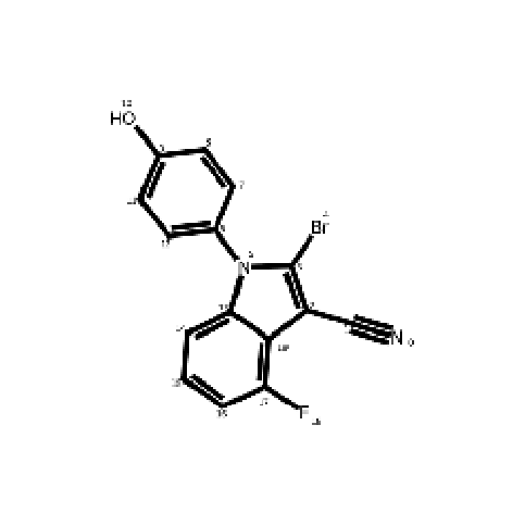 N#Cc1c(Br)n(-c2ccc(O)cc2)c2cccc(F)c12